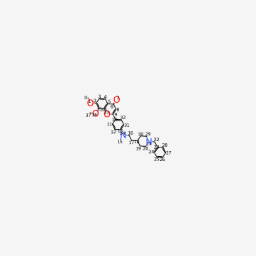 COc1ccc2c(=O)cc(-c3ccc(N(C)CCC4CCN(Cc5ccccc5)CC4)cc3)oc2c1OC